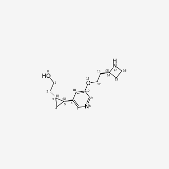 OCC[C@H]1C[C@@H]1c1cncc(OCC[C@@H]2CCN2)c1